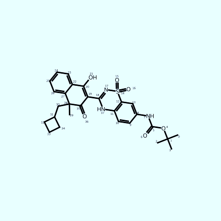 CC(C)(C)OC(=O)Nc1ccc2c(c1)S(=O)(=O)N=C(C1=C(O)c3ccccc3C(C)(CC3CCC3)C1=O)N2